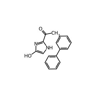 CC(=O)c1nc(O)c[nH]1.c1ccc(-c2ccccc2)cc1